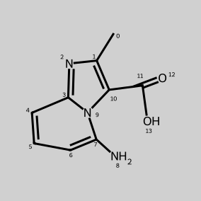 Cc1nc2cccc(N)n2c1C(=O)O